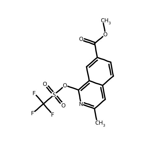 COC(=O)c1ccc2cc(C)nc(OS(=O)(=O)C(F)(F)F)c2c1